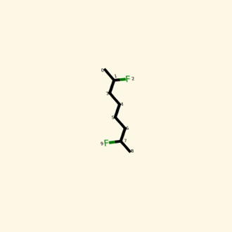 CC(F)CCCCC(C)F